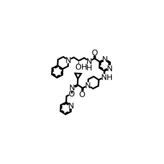 O=C(NC[C@H](O)CN1CCc2ccccc2C1)c1cc(NC2CCN(C(=O)/C(=N\OCc3ccccn3)C3CC3)CC2)ncn1